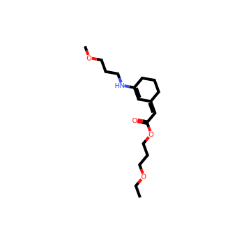 CCOCCCOC(=O)/C=C1\C=C(NCCCOC)CCC1